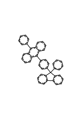 c1ccc(-c2c3ccccc3c(-c3ccc(C4(c5ccccc5)c5ccccc5-c5ccccc54)cc3)c3ccccc23)cc1